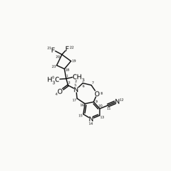 CC(C)(C(=O)N1CCOc2c(C#N)cncc2C1)C1CC(F)(F)C1